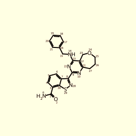 NC(=O)c1cccc2c(-c3nc4c(c(NCc5ccccc5)n3)COCCC4)nsc12